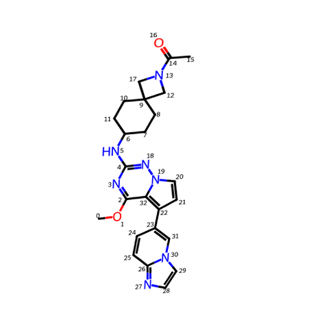 COc1nc(NC2CCC3(CC2)CN(C(C)=O)C3)nn2ccc(-c3ccc4nccn4c3)c12